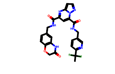 CC(F)(F)c1ccc(CNC(=O)c2cc(C(=O)NCc3ccc4c(c3)NC(=O)CO4)nc3ccnn23)cn1